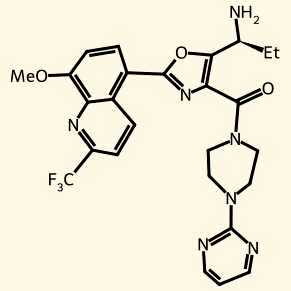 CC[C@H](N)c1oc(-c2ccc(OC)c3nc(C(F)(F)F)ccc23)nc1C(=O)N1CCN(c2ncccn2)CC1